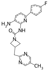 Cc1cnc(CC2CN(C(=O)Nc3nc(-c4ccc(F)cc4)ccc3N)C2)nc1